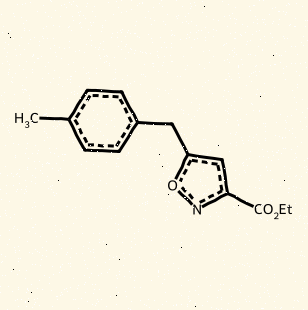 CCOC(=O)c1cc(Cc2ccc(C)cc2)on1